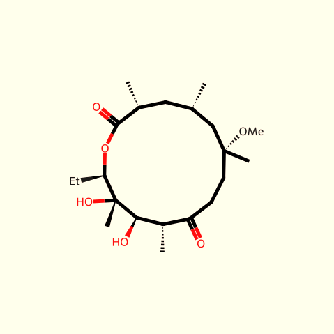 CC[C@H]1OC(=O)[C@H](C)C[C@H](C)C[C@](C)(OC)CCC(=O)[C@H](C)[C@@H](O)[C@]1(C)O